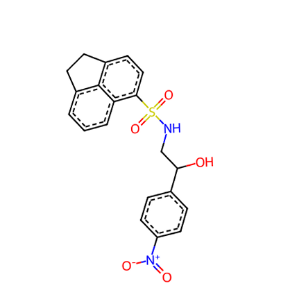 O=[N+]([O-])c1ccc(C(O)CNS(=O)(=O)c2ccc3c4c(cccc24)CC3)cc1